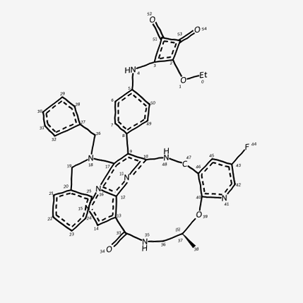 CCOc1c(Nc2ccc(-c3c4nc5c(cnn5c3N(Cc3ccccc3)Cc3ccccc3)C(=O)NC[C@H](C)Oc3ncc(F)cc3CN4)cc2)c(=O)c1=O